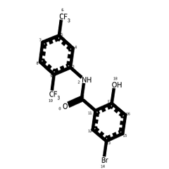 O=C(Nc1cc(C(F)(F)F)ccc1C(F)(F)F)c1cc(Br)ccc1O